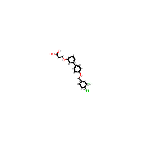 O=C(O)CCOc1cccc(-c2ccc(OCc3ccc(Cl)c(Cl)c3)cc2)c1